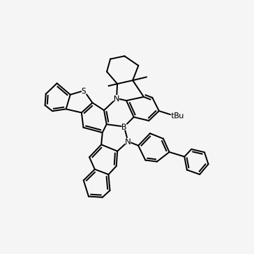 CC(C)(C)c1cc2c3c(c1)C1(C)CCCCC1(C)N3c1c3c(cc4c1sc1ccccc14)-c1cc4ccccc4cc1N(c1ccc(-c4ccccc4)cc1)B23